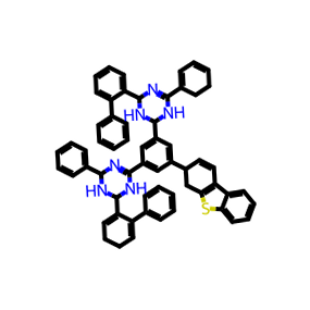 C1=CCCC(C2=NC(c3ccccc3-c3ccccc3)NC(c3cc(C4=NC(c5ccccc5)NC(C5=CCCC=C5c5ccccc5)N4)cc(C4C=Cc5c(sc6ccccc56)C4)c3)N2)=C1